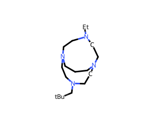 CCN1CCN2CCCN(CC1)CCN(CC(C)(C)C)CC2